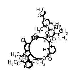 C=CC(=O)N1C[C@@H](C)N(C(=O)N(C)[C@H](C(=O)N[C@H]2Cc3nc(cs3)-c3cc4c(c(-c5cccnc5[C@H](C)OC)n(CC)c4cc3Cl)CC(C)(C)COC(=O)[C@@H]3CCCN(N3)C2=O)C(C)C)[C@H](C)C1